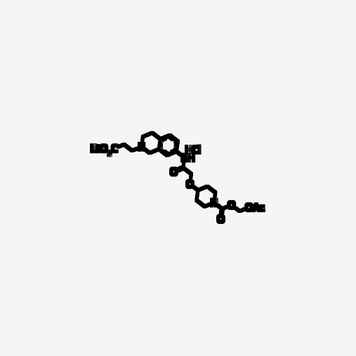 CCOC(=O)CCN1CCc2ccc(NC(=O)COC3CCN(C(=O)OCOC(C)=O)CC3)cc2C1.Cl